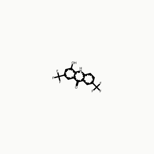 O=c1c2cc(C(F)(F)F)ccc2[nH]c2c(O)cc(C(F)(F)F)cc12